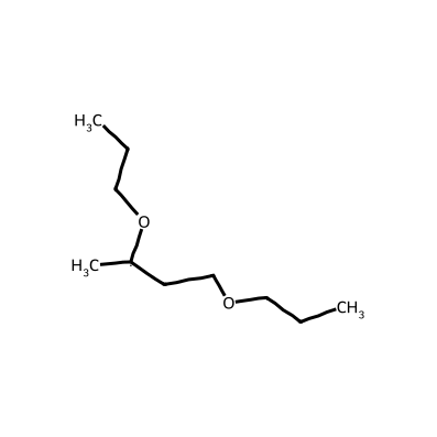 CCCOCC[C](C)OCCC